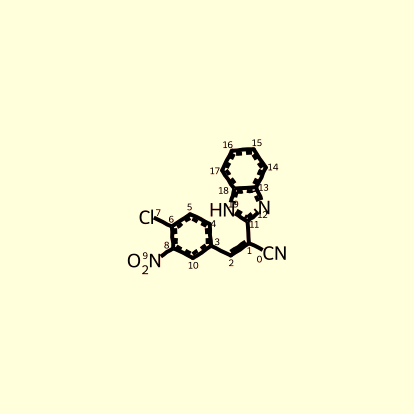 N#C/C(=C/c1ccc(Cl)c([N+](=O)[O-])c1)c1nc2ccccc2[nH]1